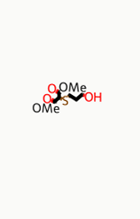 COC(=O)C(SCCCO)C(=O)OC